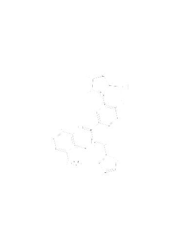 COc1ccccc1CN(Cc1cccs1)C(=O)c1ccc(Cl)c(N2CCCC2O)c1